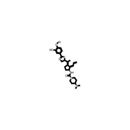 C=C/C=C1\C(=C(/C)C2CN=C(c3ccc(OC(C)C)c(C#N)c3)S2)CC[C@@H]1NC(=O)N1CCC(N(C)C)CC1